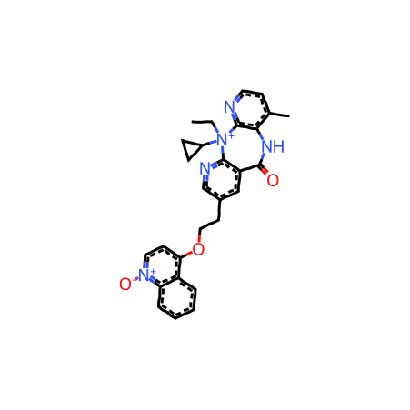 CC[N+]1(C2CC2)c2ncc(CCOc3cc[n+]([O-])c4ccccc34)cc2C(=O)Nc2c(C)ccnc21